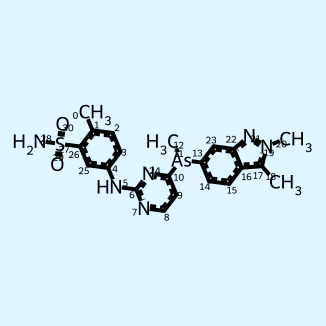 Cc1ccc(Nc2nccc([As](C)c3ccc4c(C)n(C)nc4c3)n2)cc1S(N)(=O)=O